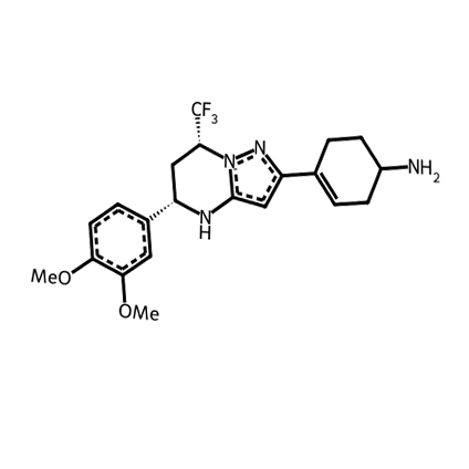 COc1ccc([C@@H]2C[C@H](C(F)(F)F)n3nc(C4=CCC(N)CC4)cc3N2)cc1OC